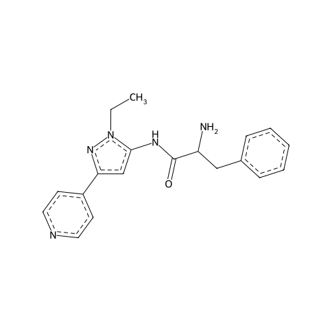 CCn1nc(-c2ccncc2)cc1NC(=O)C(N)Cc1ccccc1